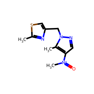 Cc1nc(Cn2ncc([N+](C)=O)c2C)cs1